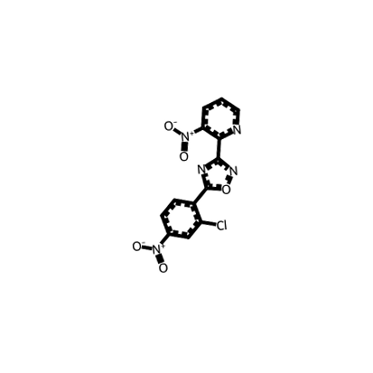 O=[N+]([O-])c1ccc(-c2nc(-c3ncccc3[N+](=O)[O-])no2)c(Cl)c1